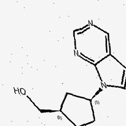 OC[C@@H]1CC[C@H](n2ccc3cncnc32)C1